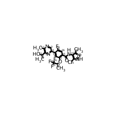 Cc1ncc(-c2cc(O[C@@H](C)C(F)(F)F)c(C(=O)Nc3c(C)n[nH]c3Cl)cc2F)nc1[C@@H](C)O